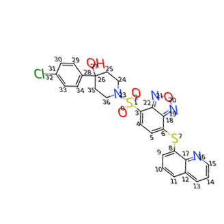 O=S(=O)(c1ccc(Sc2cccc3cccnc23)c2nonc12)N1CCC(O)(c2ccc(Cl)cc2)CC1